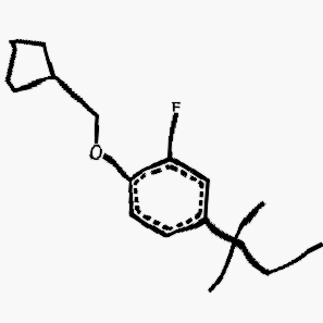 CCC(C)(C)c1ccc(OCC2CCC2)c(F)c1